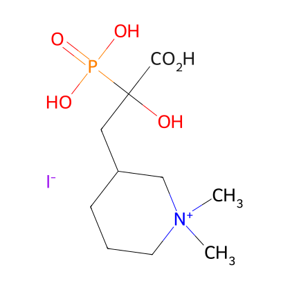 C[N+]1(C)CCCC(CC(O)(C(=O)O)P(=O)(O)O)C1.[I-]